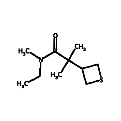 CCN(C)C(=O)C(C)(C)C1CSC1